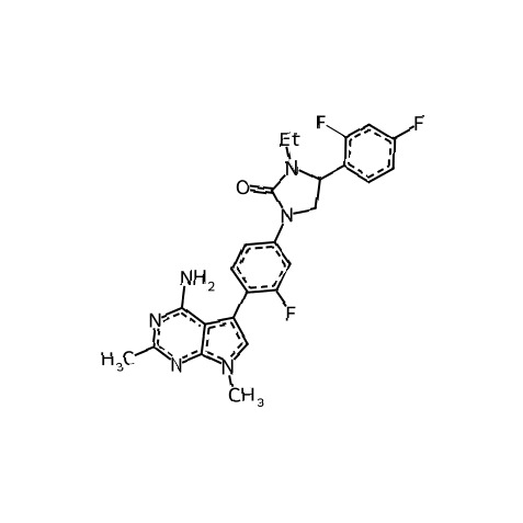 CCN1C(=O)N(c2ccc(-c3cn(C)c4nc(C)nc(N)c34)c(F)c2)CC1c1ccc(F)cc1F